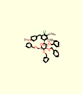 CCOc1ccc(Cc2cc([C@@H]3O[C@H](COCc4ccccc4)[C@@H](OCc4ccccc4)[C@H](OCc4ccccc4)[C@H]3OCc3ccccc3)c(OC)c(OC)c2Cl)cc1